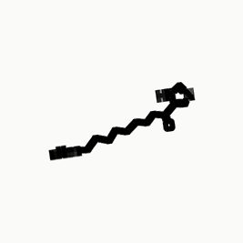 CCCCCCCCCCCCCCCCCC(=O)c1cnc[nH]1